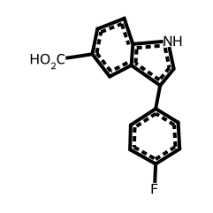 O=C(O)c1ccc2[nH]cc(-c3ccc(F)cc3)c2c1